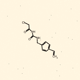 C=Cc1ccc(CNC(=O)NC(=O)CCl)cc1